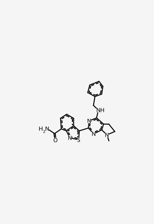 CN1CCc2c(NCc3ccccc3)nc(-c3snc4c(C(N)=O)cccc34)nc21